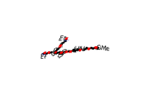 CC/C=C\CCCCOC(CCC(=O)OCCCCCCCNCCCCCCCOC)OCCCC/C=C\CC